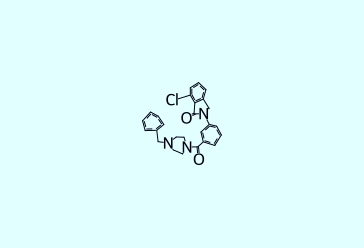 O=C(c1cccc(N2Cc3cccc(Cl)c3C2=O)c1)N1CCN(Cc2ccccc2)CC1